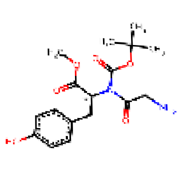 COC(=O)[C@H](Cc1ccc(O)cc1)N(C(=O)CN)C(=O)OC(C)(C)C